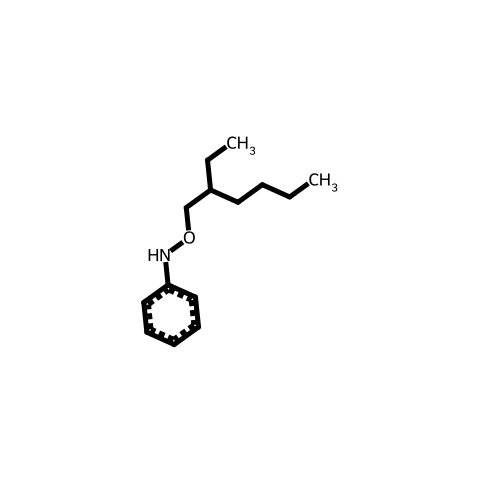 CCCCC(CC)CONc1ccccc1